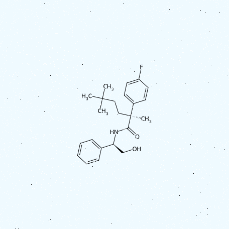 CC(C)(C)CC[C@](C)(C(=O)N[C@@H](CO)c1ccccc1)c1ccc(F)cc1